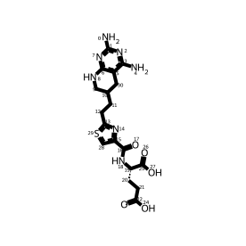 Nc1nc(N)c2c(n1)NCC(CCc1nc(C(=O)N[C@@H](CCC(=O)O)C(=O)O)cs1)C2